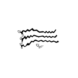 CCCCCCCCCCCCCCCCCC(=O)[O-].CCCCCCCCCCCCCCCCCC(=O)[O-].CCCCCCCCCCCCCCCCCC(=O)[O-].[Cl+].[Zn+2]